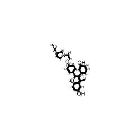 COC[C@@H]1CCN([C@@H](C)COc2ccc(C3Oc4ccc(O)cc4C(C)=C3c3cccc(O)c3)cc2)C1